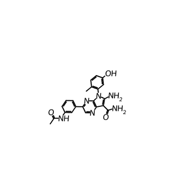 CC(=O)Nc1cccc(-c2cnc3c(C(N)=O)c(N)n(-c4cc(O)ccc4C)c3n2)c1